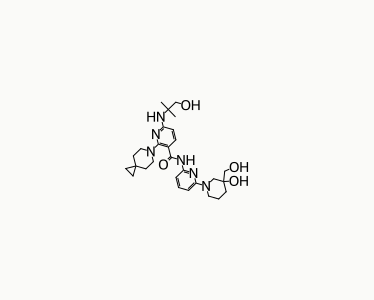 CC(C)(CO)Nc1ccc(C(=O)Nc2cccc(N3CCCC(O)(CO)C3)n2)c(N2CCC3(CC2)CC3)n1